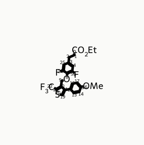 CCOC(=O)CCc1cc(F)c(OCc2c(-c3ccc(OC)cc3)csc2C(F)(F)F)c(F)c1